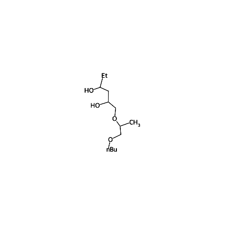 CCCCOCC(C)OCC(O)CC(O)CC